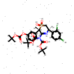 CC(C)(C)OC(=O)Oc1cccc([C@@]2(C)C(N(C(=O)OC(C)(C)C)C(=O)OC(C)(C)C)=N[C@](C)(c3ccc(F)cc3F)CS2(=O)=O)c1